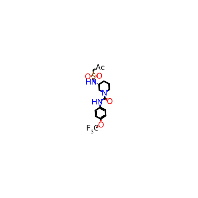 CC(=O)CS(=O)(=O)N[C@@H]1CCCN(C(=O)Nc2ccc(OC(F)(F)F)cc2)C1